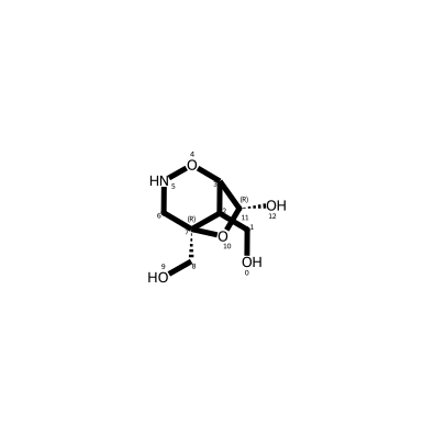 OCC1C2ONC[C@]1(CO)O[C@H]2O